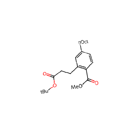 CCCCCCCCc1ccc(C(=O)OC)c(CCC(=O)OC(C)(C)C)c1